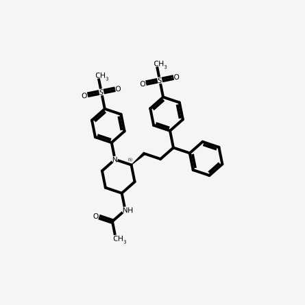 CC(=O)NC1CCN(c2ccc(S(C)(=O)=O)cc2)[C@@H](CCC(c2ccccc2)c2ccc(S(C)(=O)=O)cc2)C1